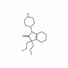 CCCC1(CCC)C(=O)N(C2CCNCC2)C2=C1CCCC2